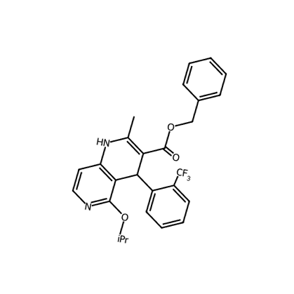 CC1=C(C(=O)OCc2ccccc2)C(c2ccccc2C(F)(F)F)c2c(ccnc2OC(C)C)N1